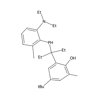 CCN(CC)c1cccc(C)c1PC(CC)(CC)c1cc(C(C)(C)C)cc(C)c1O